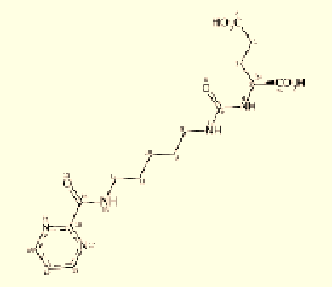 O=C(O)CC[C@H](NC(=O)NCCCCCNC(=O)c1ncccn1)C(=O)O